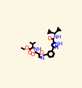 CCOC(=O)[C@@H](NC(=O)c1cnc(-c2cccc(-c3cc(C(=O)NC(C4CC4)C4CC4)[nH]n3)c2)o1)C(C)C